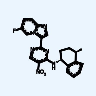 C[C@@H]1CC[C@@H](Nc2nc(-c3cnc4ccc(F)cn34)ncc2[N+](=O)[O-])c2ccccc21